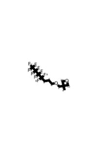 CC1(COCCCC(F)(F)C(F)(F)C(F)(F)C(F)(F)F)COC1